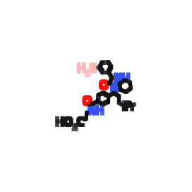 Bc1cccc(C2NC3(CCCCC3)N(C(CCC(C)C)c3ccc(C(=O)NCCC(=O)O)cc3)C2=O)c1